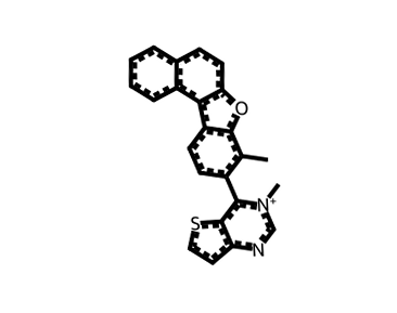 Cc1c(-c2c3sccc3nc[n+]2C)ccc2c1oc1ccc3ccccc3c12